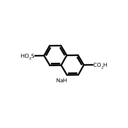 O=C(O)c1ccc2cc(S(=O)(=O)O)ccc2c1.[NaH]